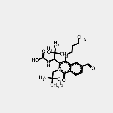 CCCCOc1c(C(NC(=O)O)C(C)(C)C)n(CC(C)(C)C)c(=O)c2ccc(C=O)cc12